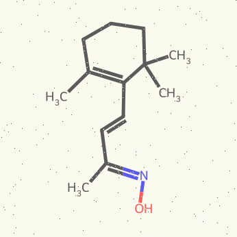 CC(C=CC1=C(C)CCCC1(C)C)=NO